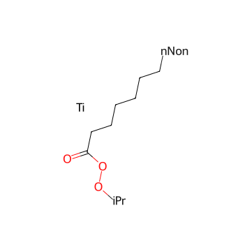 CCCCCCCCCCCCCCCC(=O)OOC(C)C.[Ti]